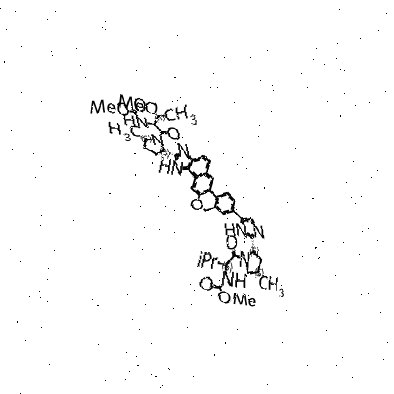 COC(=O)NC(C(=O)N1[C@@H](C)CC[C@H]1c1nc2ccc3cc4c(cc3c2[nH]1)OCc1cc(-c2cnc([C@@H]3C[C@H](C)CN3C(=O)[C@@H](NC(=O)OC)C(C)C)[nH]2)ccc1-4)[C@@H](C)OC